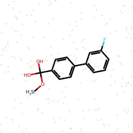 OC(O)(O[SiH3])c1ccc(-c2cccc(F)c2)cc1